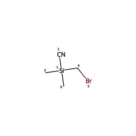 C[Si](C)(C#N)CBr